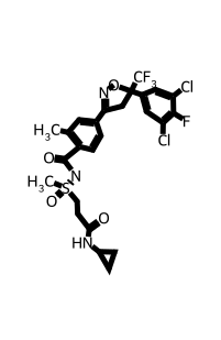 Cc1cc(C2=NOC(c3cc(Cl)c(F)c(Cl)c3)(C(F)(F)F)C2)ccc1C(=O)N=S(C)(=O)CCC(=O)NC1CC1